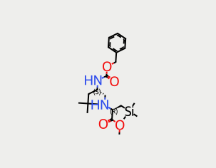 COC(=O)[C@H](C[Si](C)(C)C)NC[C@H](CC(C)(C)C)NC(=O)OCc1ccccc1